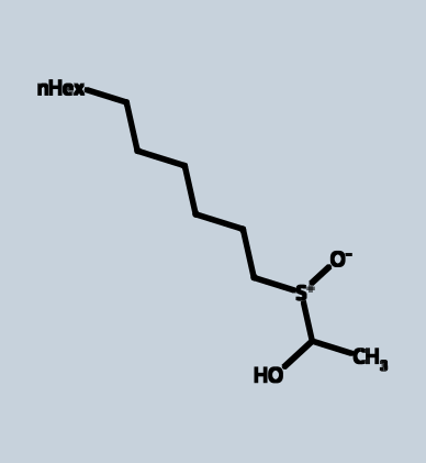 CCCCCCCCCCCC[S+]([O-])C(C)O